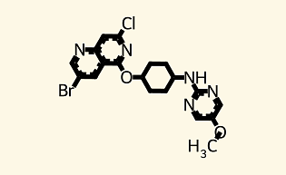 COc1cnc(NC2CCC(Oc3nc(Cl)cc4ncc(Br)cc34)CC2)nc1